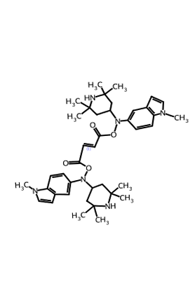 Cn1ccc2cc(N(OC(=O)/C=C/C(=O)ON(c3ccc4c(ccn4C)c3)C3CC(C)(C)NC(C)(C)C3)C3CC(C)(C)NC(C)(C)C3)ccc21